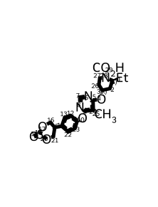 CC[C@H]1C[C@H](Oc2ncnc(Oc3ccc(C4COS(=O)OC4)cc3)c2C)CCN1C(=O)O